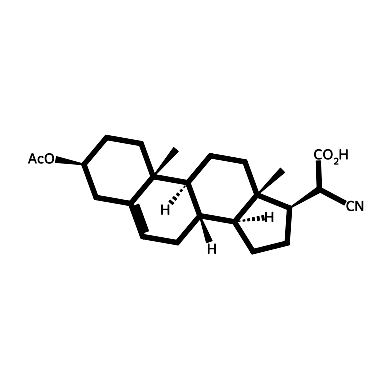 CC(=O)O[C@H]1CC[C@@]2(C)C(=CC[C@H]3[C@@H]4CC[C@H](C(C#N)C(=O)O)[C@@]4(C)CC[C@@H]32)C1